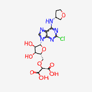 O=C(O)C(OC[C@H]1O[C@@H](n2cnc3c(N[C@@H]4CCOC4)nc(Cl)nc32)[C@H](O)[C@@H]1O)C(=O)O